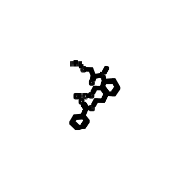 CCCCOCC(=O)N(C)c1cccc(CCOC(=O)c2ccccc2)c1COC=O